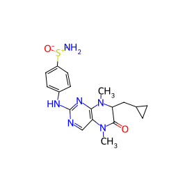 CN1C(=O)C(CC2CC2)N(C)c2nc(Nc3ccc([S+](N)[O-])cc3)ncc21